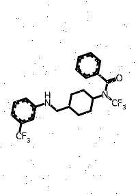 O=C(c1ccccc1)N(C1CCC(CNc2cccc(C(F)(F)F)c2)CC1)C(F)(F)F